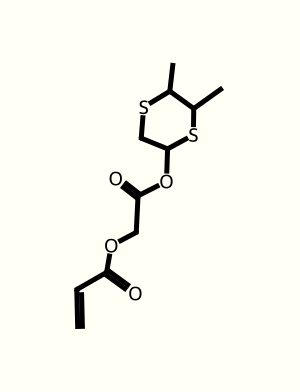 C=CC(=O)OCC(=O)OC1CSC(C)C(C)S1